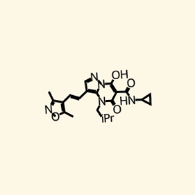 Cc1noc(C)c1C=Cc1cnn2c(O)c(C(=O)NC3CC3)c(=O)n(CC(C)C)c12